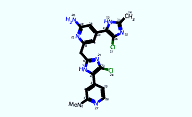 CNc1cc(-c2[nH]c(Cc3cc(-c4[nH]c(C)nc4Cl)cc(N)n3)nc2Cl)ccn1